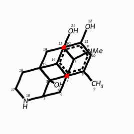 CNC1CC2(O)C3Cc4c(C)cc(O)cc4C2(CCN3)CC1O